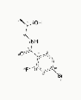 C[C@@H](O)CNC(=O)c1ccc(Br)cc1F